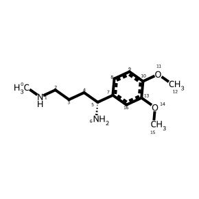 CNCCC[C@@H](N)c1ccc(OC)c(OC)c1